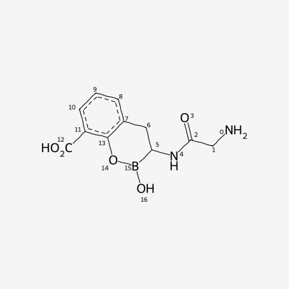 NCC(=O)NC1Cc2cccc(C(=O)O)c2OB1O